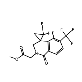 COC(=O)CN1CC2(CC2(F)F)c2c(ccc(C(F)(F)F)c2F)C1=O